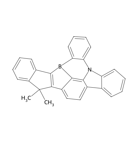 CC1(C)C2=C(B3c4ccccc4-n4c5ccccc5c5ccc2c3c54)c2ccccc21